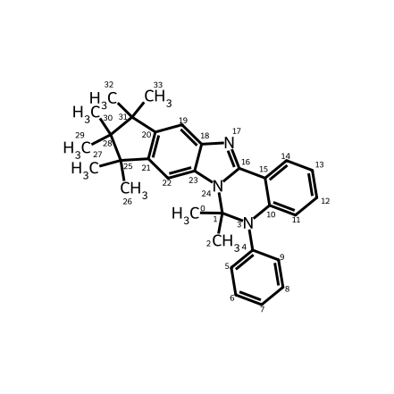 CC1(C)N(c2ccccc2)c2ccccc2-c2nc3cc4c(cc3n21)C(C)(C)C(C)(C)C4(C)C